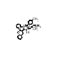 CCC(c1nc2ccccn2c(=O)c1Cc1ccccc1)N(CC(C)(C)CN)C(=O)c1ccc(C)cc1